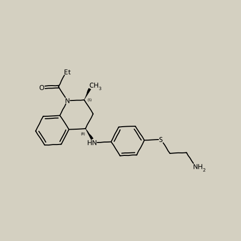 CCC(=O)N1c2ccccc2[C@H](Nc2ccc(SCCN)cc2)C[C@@H]1C